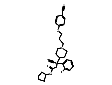 N#Cc1ccc(OCCCN2CCC([C@@](C#N)(CC(=O)OC3CCCC3)c3ccccc3F)CC2)cc1